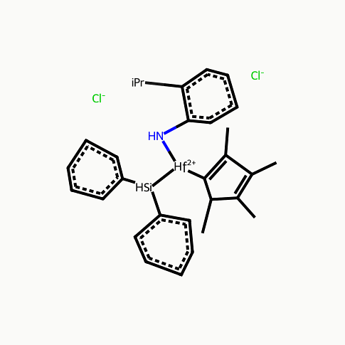 CC1=C(C)C(C)[C]([Hf+2]([NH]c2ccccc2C(C)C)[SiH](c2ccccc2)c2ccccc2)=C1C.[Cl-].[Cl-]